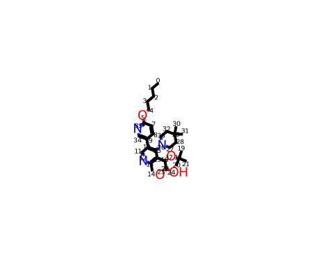 CCCCCOc1ccc(-c2cnc(C)c(C(OC(C)(C)C)C(=O)O)c2N2CCC(C)(C)CC2)cn1